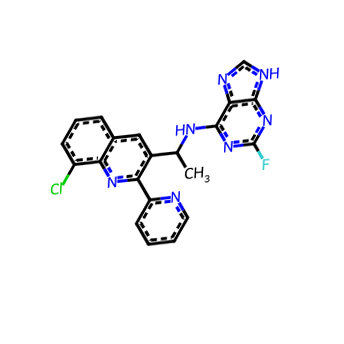 CC(Nc1nc(F)nc2[nH]cnc12)c1cc2cccc(Cl)c2nc1-c1ccccn1